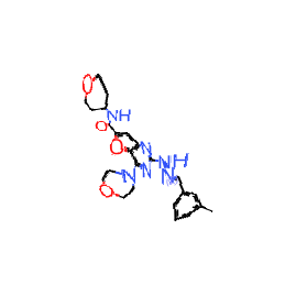 Cc1cccc(/C=N/Nc2nc(N3CCOCC3)c3oc(C(=O)NC4CCOCC4)cc3n2)c1